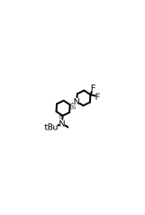 CN([C@H]1CCC[C@H](N2CCC(F)(F)CC2)C1)C(C)(C)C